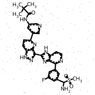 CC(C)(C)C(=O)Nc1cncc(-c2ccc3[nH]nc(-c4nc5c(-c6cc(F)cc(C(N)S(C)(=O)=O)c6)nccc5[nH]4)c3n2)c1